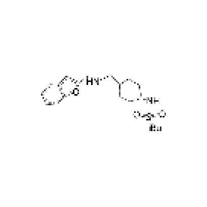 CCC(C)S(=O)(=O)NC1CCC(CNCc2cc3ccccc3o2)CC1